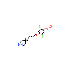 COOCc1cc(F)c(OCCCC2CC3(CCNCC3)C2)cc1F